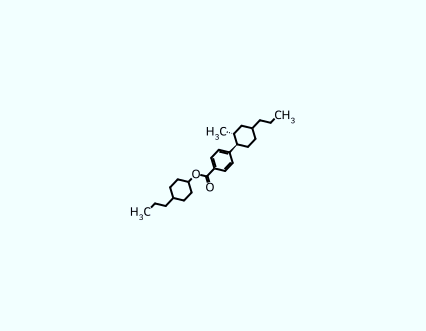 CCCC1CCC(OC(=O)c2ccc([C@@H]3CCC(CCC)C[C@H]3C)cc2)CC1